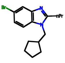 CCCc1nc2cc(Br)ccc2n1CC1CCCC1